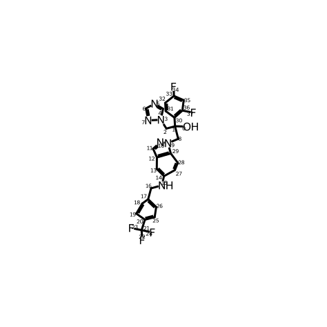 OC(Cn1cncn1)(Cn1ncc2cc(NCc3ccc(C(F)(F)F)cc3)ccc21)c1ccc(F)cc1F